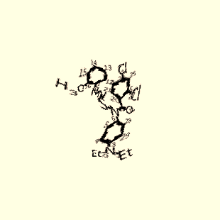 CCN(CC)c1ccc(N(SN=Nc2ccccc2C)C(=O)c2ccc(Cl)cc2Cl)cc1